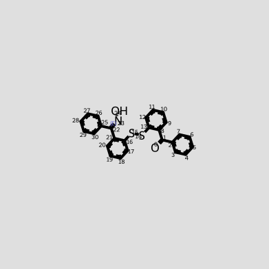 O=C(c1ccccc1)c1ccccc1SSc1ccccc1/C(=N/O)c1ccccc1